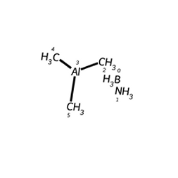 B.N.[CH3][Al]([CH3])[CH3]